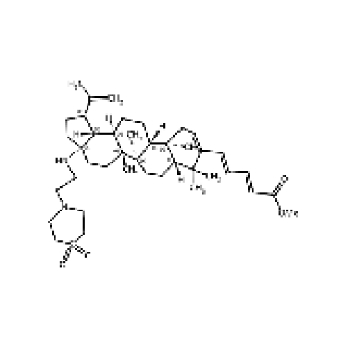 C=C(C)[C@@H]1CC[C@]2(NCCN3CCS(=O)(=O)CC3)CC[C@]3(C)[C@H](CC[C@@H]4[C@@]5(C)CC=C(C=CC=CC(=O)OC)C(C)(C)[C@@H]5CC[C@]43C)[C@@H]12